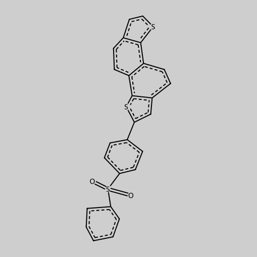 O=S(=O)(c1ccccc1)c1ccc(-c2cc3ccc4c(ccc5ccsc54)c3s2)cc1